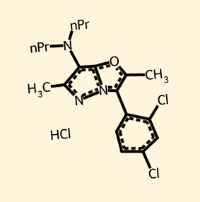 CCCN(CCC)c1c(C)nn2c(-c3ccc(Cl)cc3Cl)c(C)oc12.Cl